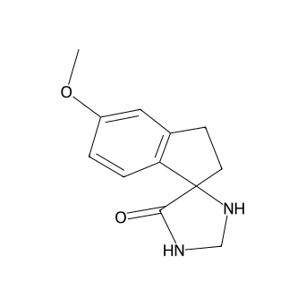 COc1ccc2c(c1)CCC21NCNC1=O